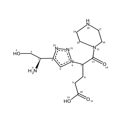 N[C@@H](CO)c1cn(C(CCC(=O)O)C(=O)N2CCNCC2)nn1